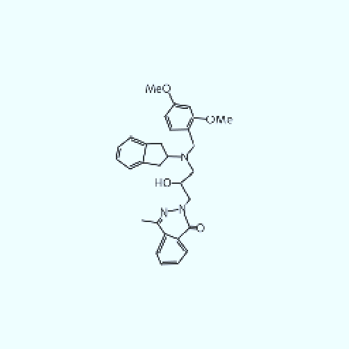 COc1ccc(CN(CC(O)Cn2nc(C)c3ccccc3c2=O)C2Cc3ccccc3C2)c(OC)c1